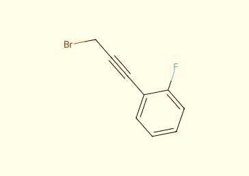 Fc1ccccc1C#CCBr